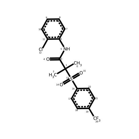 CC(C)(C(=O)Nc1ccccc1Cl)S(=O)(=O)c1ccc(C(F)(F)F)cc1